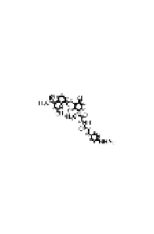 CC(=O)Nc1ccc(C=CC(=O)NCC(=O)N(C)c2ccc(Cl)c(COc3cccc4c(N(C)C)cc(C)nc34)c2Cl)cn1